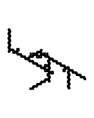 CCCCCCCCCC(C)COC(=O)CCCCCN(CCCCCCCC(=O)O)CCNC(=O)CC(C)C(=O)NCCN(CCCCCCCC(=O)OC(CCCCCCCC)CCCCCCCC)CCCCCC(=O)OCC(C)CCCCCCCCC